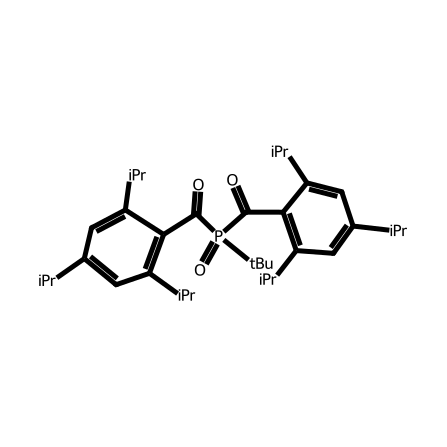 CC(C)c1cc(C(C)C)c(C(=O)P(=O)(C(=O)c2c(C(C)C)cc(C(C)C)cc2C(C)C)C(C)(C)C)c(C(C)C)c1